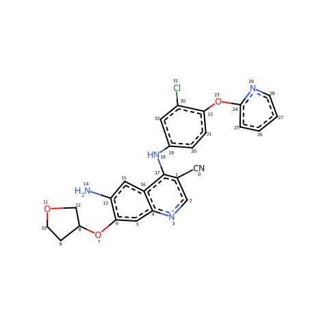 N#Cc1cnc2cc(OC3CCOC3)c(N)cc2c1Nc1ccc(Oc2ccccn2)c(Cl)c1